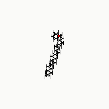 II(I)I(I)I(I)I(I)I(I)I(I)I(I)I(I)I(I)I(I)I(I)I(I)I(I)I(I)I(I)I(I)I(I)I(I)I(I)I(I)I(I)I(I)I(I)I(I)I(I)I(I)I(I)I(I)I(I)I(I)I